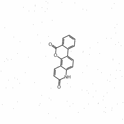 O=c1ccc2c(ccc3c4ccccc4c(=O)oc23)[nH]1